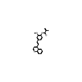 C=C(C)C(=O)Oc1ccc(C=Cc2ccnc3ccccc23)cc1OC